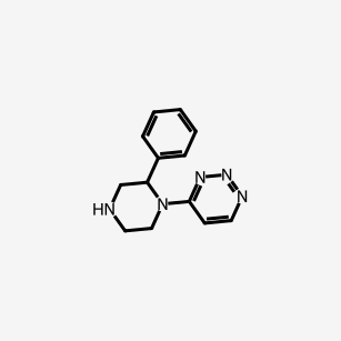 c1ccc(C2CNCCN2c2ccnnn2)cc1